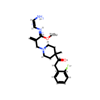 C=C(CN1CCC(C)(C(=O)Cc2ccccc2F)CC1)/C(=N\C=C/N)OC(C)(C)C